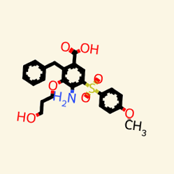 COc1ccc(S(=O)(=O)c2cc(C(=O)O)c(Cc3ccccc3)c(OCCCO)c2N)cc1